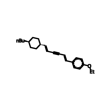 CCCC[C@H]1CC[C@H](C=CC#CC=Cc2ccc(OCC)cc2)CC1